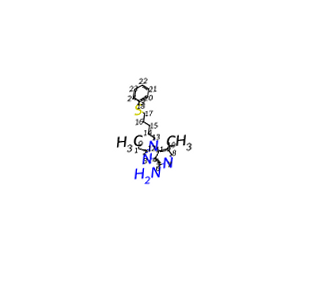 CCc1nc2c(N)ncc(C)c2n1CCCCCSc1ccccc1